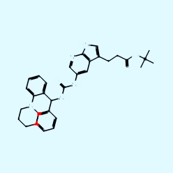 CC(C)(C)OC(=O)CCc1c[nH]c2ncc(NC(=O)NC(c3ccccc3)c3ccccc3N3CCCCC3)cc12